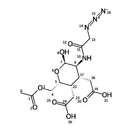 CC(=O)OC[C@@H]1O[C@@H](O)[C@@H](NC(=O)CN=[N+]=[N-])[C@H](CC(=O)O)[C@@H]1CC(=O)O